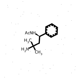 CC(=O)N[C@H](CC(C)(C)N)c1ccccc1